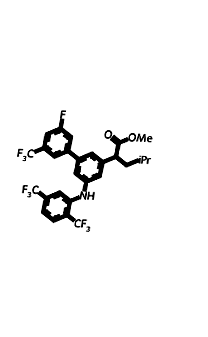 COC(=O)C(CC(C)C)c1cc(Nc2cc(C(F)(F)F)ccc2C(F)(F)F)cc(-c2cc(F)cc(C(F)(F)F)c2)c1